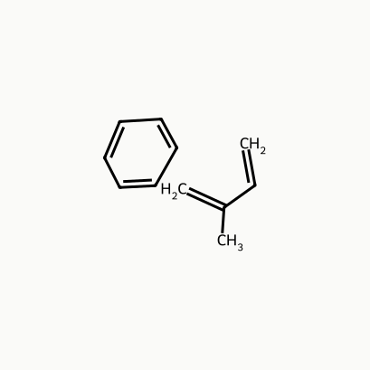 C=CC(=C)C.c1ccccc1